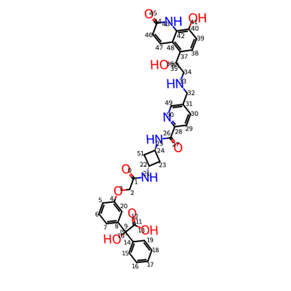 O=C(COc1cccc([C@](O)(C(=O)O)c2ccccc2)c1)N[C@H]1C[C@H](NC(=O)c2ccc(CNC[C@H](O)c3ccc(O)c4[nH]c(=O)ccc34)cn2)C1